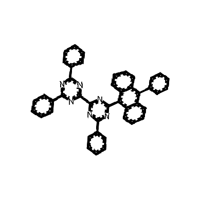 c1ccc(-c2nc(-c3ccccc3)nc(-c3nc(-c4ccccc4)nc(-c4c5ccccc5c(-c5ccccc5)c5ccccc45)n3)n2)cc1